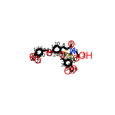 O=C(O)CN1C(=O)/C(=C/c2ccc(OCc3ccc4c(c3)OCO4)cc2OCc2ccc3c(c2)OCO3)SC1=S